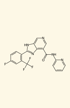 O=C(Nc1ccccn1)c1cncc2[nH]c(-c3ccc(F)cc3C(F)(F)F)nc12